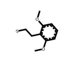 COc1cccc(OC)c1CC[S]